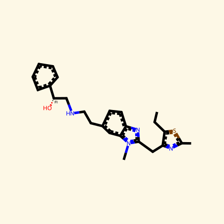 CCc1sc(C)nc1Cc1nc2ccc(CCNC[C@H](O)c3ccccc3)cc2n1C